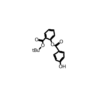 CC(C)(C)OC(=O)c1ccccc1OC(=O)c1ccc(O)cc1